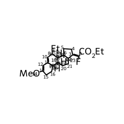 CCOC(=O)C(F)=C1CC[C@H]2[C@@H]3[C@H](CC)C=C4C=C(OC)CC[C@]4(C)[C@H]3CC[C@]12C